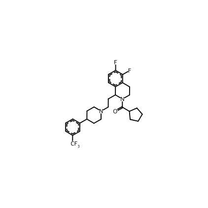 O=C(C1CCCC1)N1CCc2c(ccc(F)c2F)C1CCN1CCC(c2cccc(C(F)(F)F)c2)CC1